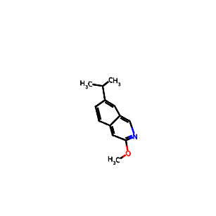 COc1cc2ccc(C(C)C)cc2cn1